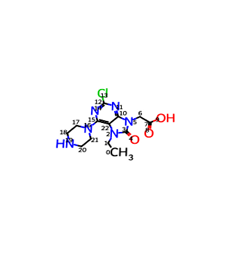 CCn1c(=O)n(CC(=O)O)c2nc(Cl)nc(N3CCNCC3)c21